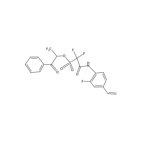 C=Cc1ccc(NC(=O)C(F)(F)S(=O)(=O)OC(C(=O)c2ccccc2)C(F)(F)F)c(F)c1